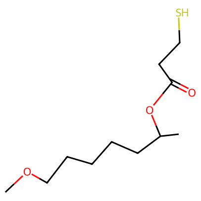 COCCCCCC(C)OC(=O)CCS